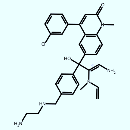 C=CN(C)/C(=C\N)C(O)(c1ccc(CNCCN)cc1)c1ccc2c(c1)c(-c1cccc(Cl)c1)cc(=O)n2C